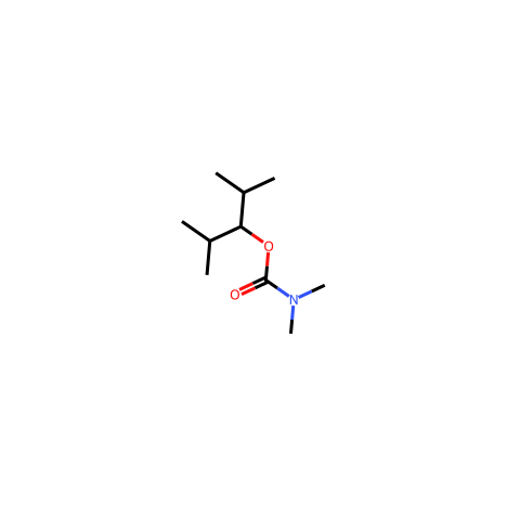 CC(C)C(OC(=O)N(C)C)C(C)C